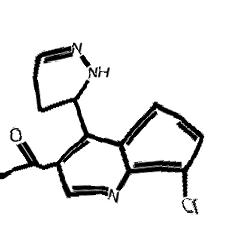 CC(=O)c1cnc2c(Cl)cccc2c1C1CC=NN1